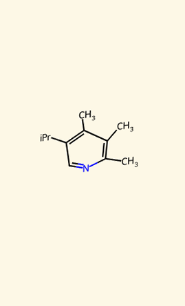 Cc1ncc(C(C)C)c(C)c1C